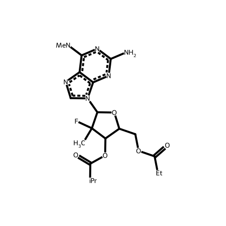 CCC(=O)OCC1OC(n2cnc3c(NC)nc(N)nc32)C(C)(F)C1OC(=O)C(C)C